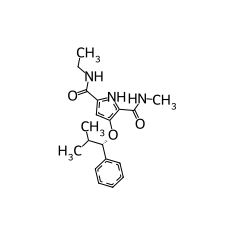 CCNC(=O)c1cc(O[C@H](c2ccccc2)C(C)C)c(C(=O)NC)[nH]1